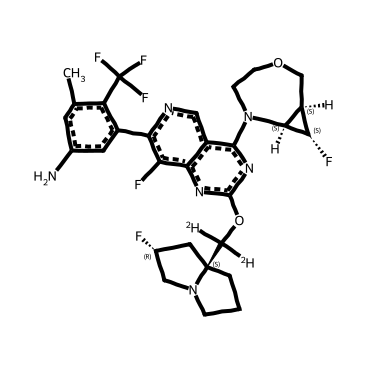 [2H]C([2H])(Oc1nc(N2CCOC[C@H]3[C@H](F)[C@H]32)c2cnc(-c3cc(N)cc(C)c3C(F)(F)F)c(F)c2n1)[C@@]12CCCN1C[C@H](F)C2